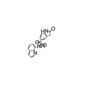 O=C1Cc2cc(S(=O)(=O)Nc3cccc4cccnc34)ccc2N1